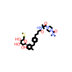 CS#CC1O[C@@H](c2ccc(C)c(Cc3ccc(CCCC(=O)NC(C)(C)C(=O)N4CCN(C(=O)N(C)C)CC4)cc3)c2)[C@H](O)[C@@H](O)[C@@H]1O